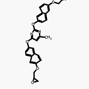 Cc1cc(Oc2ccc3cc(OCC4CO4)ccc3c2)nc(Oc2ccc3cc(OCC4CO4)ccc3c2)n1